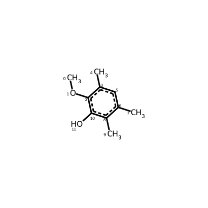 COc1c(C)cc(C)c(C)c1O